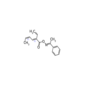 C=C/C(=C\C=C/C)C(=O)ON=C(C)c1ccccc1